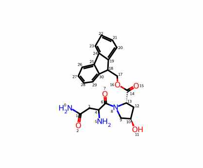 NC(=O)CC(N)C(=O)N1C[C@H](O)C[C@H]1C(=O)OCC1c2ccccc2-c2ccccc21